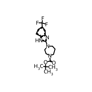 CC(C)(C)OC(=O)N1CCCN(c2nc3cc(C(F)(F)F)ccc3[nH]2)CC1